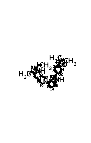 CCc1nc(C)c(CN2CCN(c3cccc4[nH]c(-c5ccc(S(=O)(=O)C(C)C)cc5)nc34)CC2)[nH]1